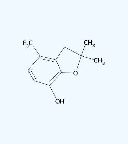 CC1(C)Cc2c(C(F)(F)F)ccc(O)c2O1